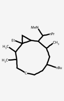 CCCCC1CCCCC(C)C(C)C2(CC)CC2C(C(CCC)NC)C(C)C1